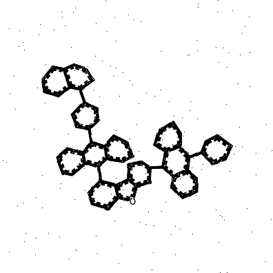 c1ccc(-c2c3ccccc3c(-c3ccc4c(c3)oc3cccc(-c5c6ccccc6c(-c6ccc(-c7cccc8ccccc78)cc6)c6ccccc56)c34)c3ccccc23)cc1